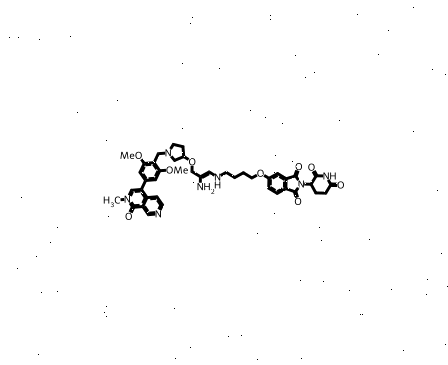 COc1cc(-c2cn(C)c(=O)c3cnccc23)cc(OC)c1CN1CCC(OC/C(N)=C/NCCCCOc2ccc3c(c2)C(=O)N(C2CCC(=O)NC2=O)C3=O)C1